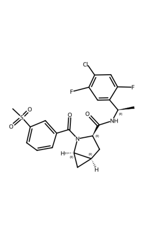 C[C@@H](NC(=O)[C@H]1C[C@H]2C[C@H]2N1C(=O)c1cccc(S(C)(=O)=O)c1)c1cc(F)c(Cl)cc1F